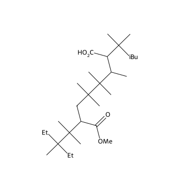 CCC(C)C(C)(C)C(C(=O)O)C(C)C(C)(C)C(C)(C)CC(C(=O)OC)C(C)(C)C(C)(CC)CC